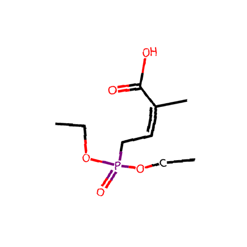 CCOP(=O)(CC=C(C)C(=O)O)OCC